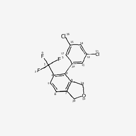 FC(F)(F)c1ccc2c(c1-c1cc(Cl)cc(Cl)c1)COC2